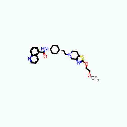 O=C(N[C@H]1CC[C@H](CCN2CCc3sc(OCCOC(F)(F)F)nc3C2)CC1)c1cccc2ncccc12